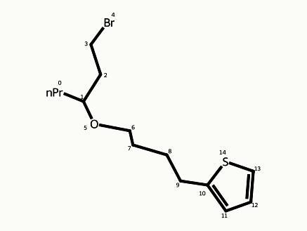 CCCC(CCBr)OCCCCc1cccs1